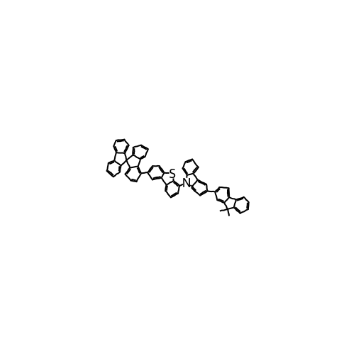 CC1(C)c2ccccc2-c2ccc(-c3ccc4c(c3)c3ccccc3n4-c3cccc4c3sc3ccc(-c5cccc6c5-c5ccccc5C65c6ccccc6-c6ccccc65)cc34)cc21